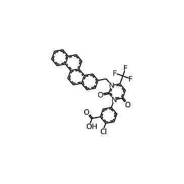 O=C(O)c1cc(-n2c(=O)cc(C(F)(F)F)n(Cc3ccc4ccc5c6ccccc6ccc5c4c3)c2=O)ccc1Cl